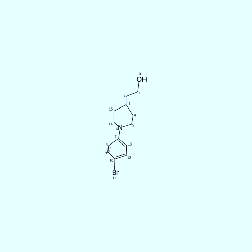 OCCC1CCN(c2ccc(Br)cc2)CC1